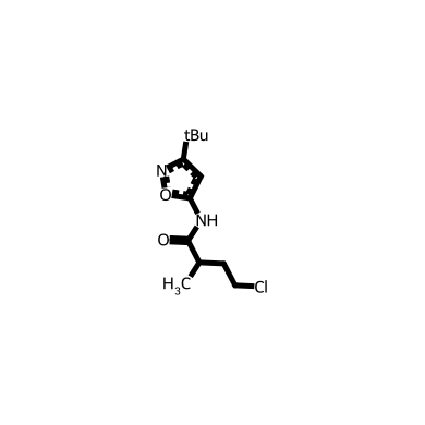 CC(CCCl)C(=O)Nc1cc(C(C)(C)C)no1